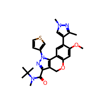 COc1cc2c(cc1-c1cn(C)nc1C)-c1c(c(C(=O)N(C)C(C)(C)C)nn1-c1ccsc1)CO2